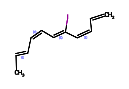 C=C\C=C/C(I)=C/C=C\C=C\C